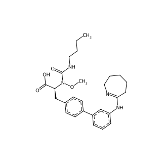 CCCCNC(=O)N(OC)[C@@H](Cc1ccc(-c2cccc(NC3=NCCCCC3)c2)cc1)C(=O)O